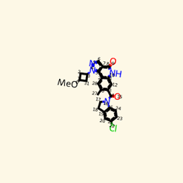 COC1CC(n2ncc3c(=O)[nH]c4cc(C(=O)N5CCc6cc(Cl)ccc65)c(C)cc4c32)C1